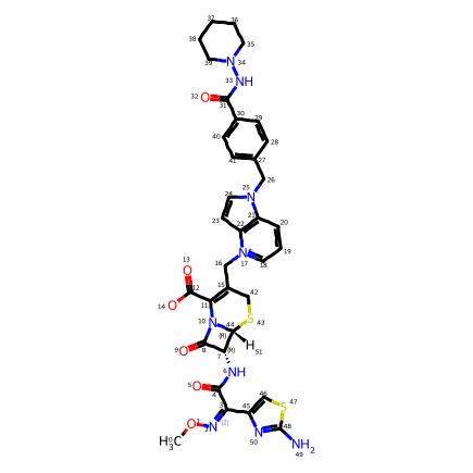 CO/N=C(\C(=O)N[C@@H]1C(=O)N2C(C(=O)[O-])=C(C[n+]3cccc4c3ccn4Cc3ccc(C(=O)NN4CCCCC4)cc3)CS[C@H]12)c1csc(N)n1